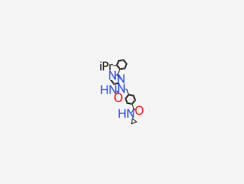 CC(C)c1ccccc1-c1ncc2[nH]c(=O)n(Cc3ccc(C(=O)NC4CC4)cc3)c2n1